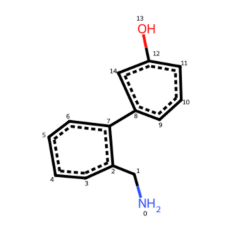 NCc1ccccc1-c1cccc(O)c1